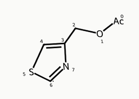 CC(=O)OCc1cs[c]n1